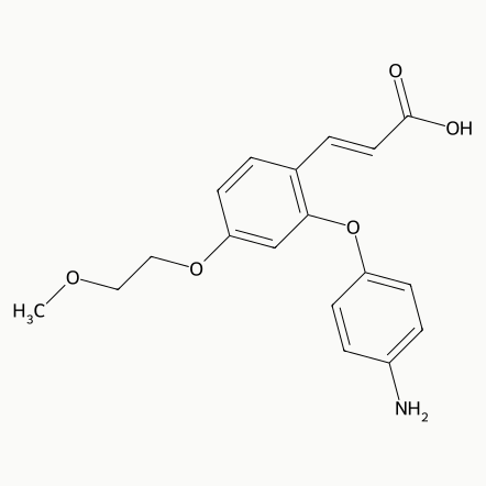 COCCOc1ccc(C=CC(=O)O)c(Oc2ccc(N)cc2)c1